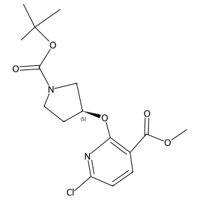 COC(=O)c1ccc(Cl)nc1O[C@H]1CCN(C(=O)OC(C)(C)C)C1